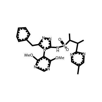 COc1ncnc(OC)c1-n1c(Cc2ccccc2)nnc1NS(=O)(=O)C(C)C(C)c1ncc(C)cn1